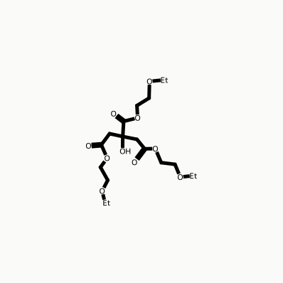 CCOCCOC(=O)CC(O)(CC(=O)OCCOCC)C(=O)OCCOCC